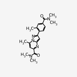 Cc1cc(C(=O)N(C)C)ccc1-c1cc2nc(C(=O)N(C)C)cc(C)n2n1